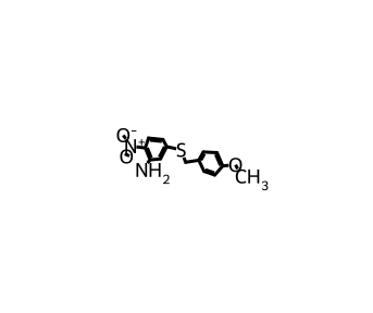 COc1ccc(CSc2ccc([N+](=O)[O-])c(N)c2)cc1